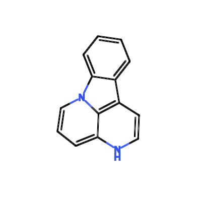 C1=Cc2c3ccccc3n3cccc(c23)N1